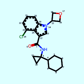 O=C(NC1(C2CCCCC2)CC1)c1cn(C2COC2)c2cccc(Cl)c12